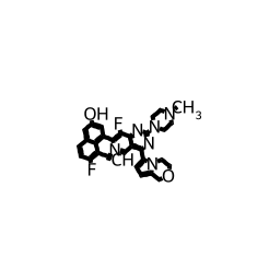 C#Cc1c(F)ccc2cc(O)cc(-c3ncc4c(-c5ccc6n5CCOC6)nc(N5CCN(C)CC5)nc4c3F)c12